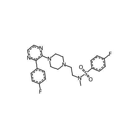 CN(CCN1CCN(c2nccnc2-c2ccc(F)cc2)CC1)S(=O)(=O)c1ccc(F)cc1